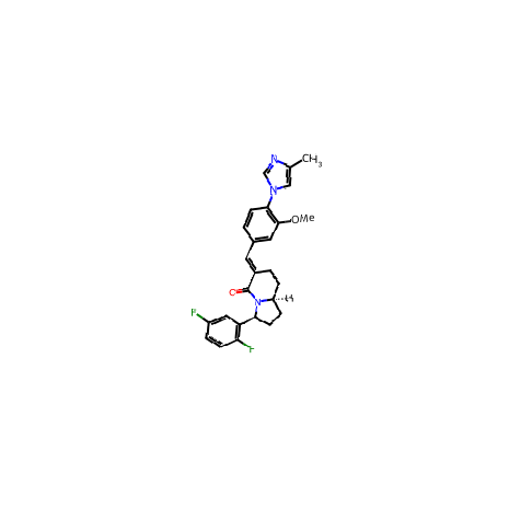 COc1cc(/C=C2\CC[C@H]3CC[C@@H](c4cc(F)ccc4F)N3C2=O)ccc1-n1cnc(C)c1